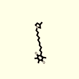 CC1=C(C)C(=O)C(CCCCCCCCCCN2CCC(C)C2)=C(C)C1=O